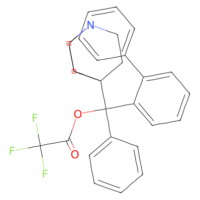 O=C(OC(c1ccccc1)(c1ccccc1-c1ccccc1)C12CCN(CC1)CC2)C(F)(F)F